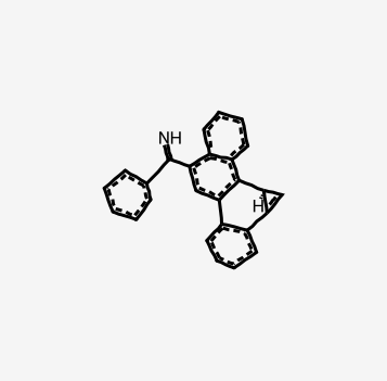 N=C(c1ccccc1)c1cc2c(c3ccccc13)[C@H]1C=C1c1ccccc1-2